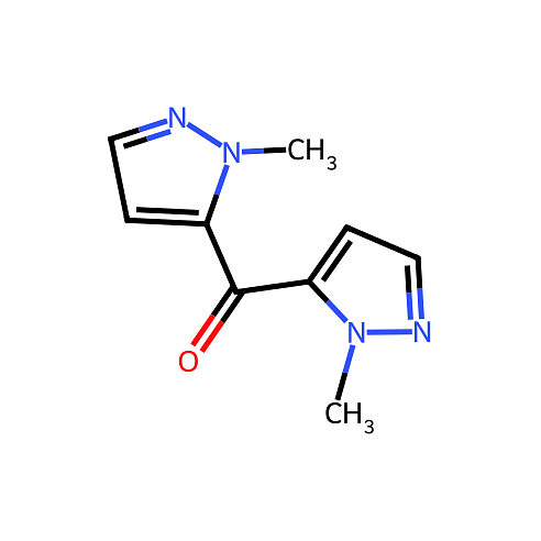 Cn1nccc1C(=O)c1ccnn1C